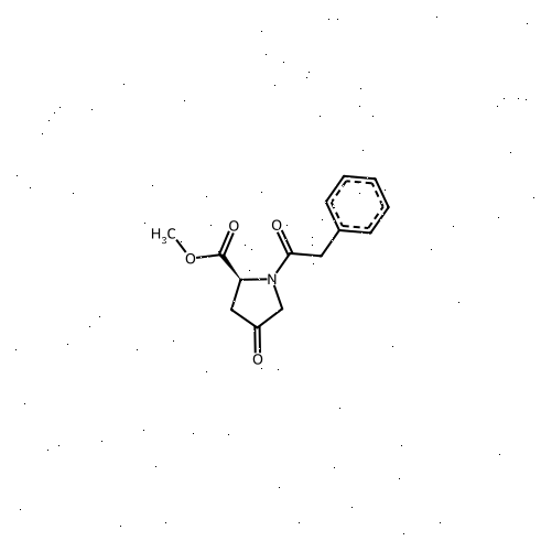 COC(=O)[C@@H]1CC(=O)CN1C(=O)Cc1ccccc1